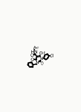 CC(=O)CNC(=O)c1c(O)n(-c2ccc(Cl)cc2)c(=O)n(Cc2ccccc2)c1=O